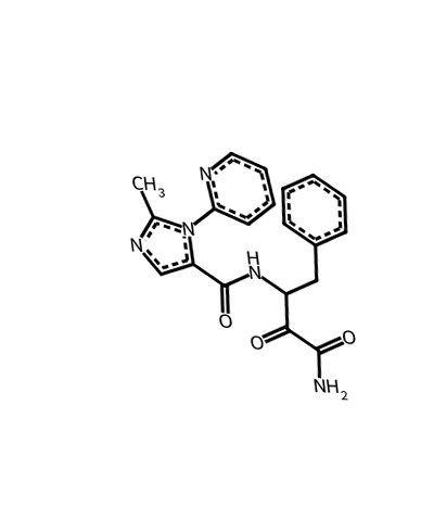 Cc1ncc(C(=O)NC(Cc2ccccc2)C(=O)C(N)=O)n1-c1ccccn1